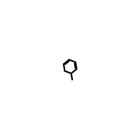 CC1[CH]C=CC=C1